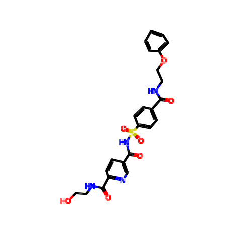 O=C(NCCOc1ccccc1)c1ccc(S(=O)(=O)NC(=O)c2ccc(C(=O)NCCO)nc2)cc1